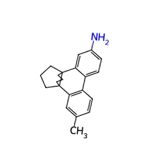 Cc1ccc2c(c1)C13CCCC1(CCC3)c1cc(N)ccc1-2